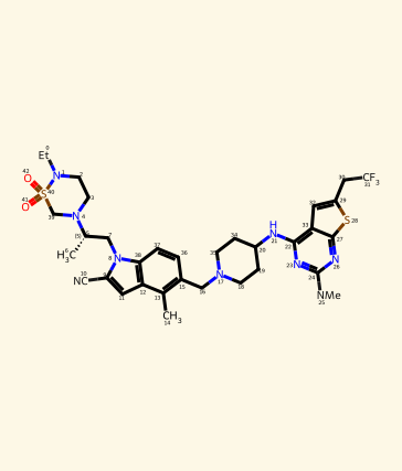 CCN1CCN([C@@H](C)Cn2c(C#N)cc3c(C)c(CN4CCC(Nc5nc(NC)nc6sc(CC(F)(F)F)cc56)CC4)ccc32)CS1(=O)=O